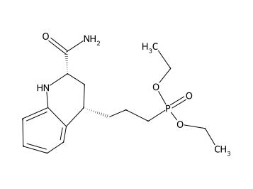 CCOP(=O)(CCC[C@H]1C[C@@H](C(N)=O)Nc2ccccc21)OCC